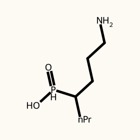 CCCC(CCCN)[PH](=O)O